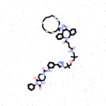 CC(C)(CNC(=O)CCC(=O)N1Cc2ccccc2-c2nnn(C3(C)CCCCCCCCCCCCCCC3)c2-c2ccccc21)COCC(C)(C)Cn1cc(-c2cccc(NC(=O)N3CCC4(CC3)NC(=O)N(c3ccccc3)C4=O)c2)nn1